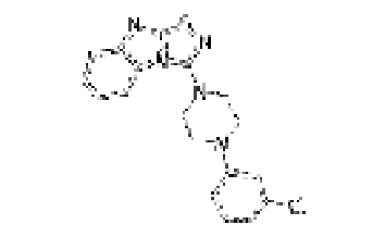 Clc1cccc(N2CCN(c3nsc4nc5ccccc5n34)CC2)c1